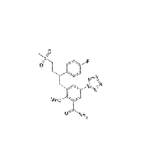 COc1c(CC(CCS(C)(=O)=O)c2ccc(F)cc2)cc(-n2cnnn2)cc1C(N)=O